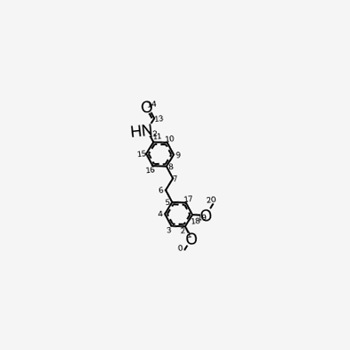 COc1ccc(CCc2ccc(NC=O)cc2)cc1OC